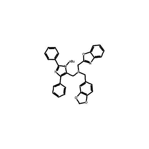 CCCCn1c(-c2ccccc2)nc(-c2ccccc2)c1CN(Cc1ccc2c(c1)OCO2)Cc1nc2ccccc2o1